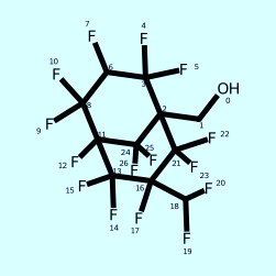 OCC12C(F)(F)C(F)C(F)(F)C(F)(C(F)(F)C(F)(C(F)F)C1(F)F)C2(F)F